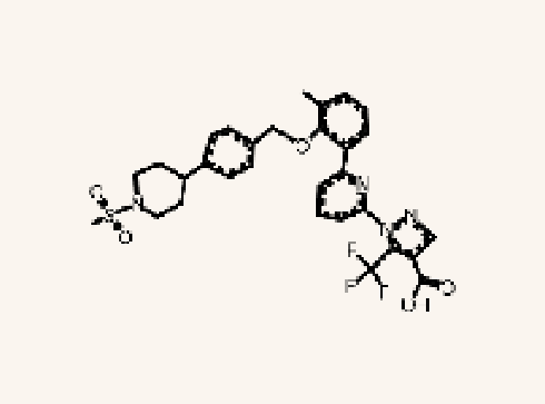 Cc1cccc(-c2cccc(-n3ncc(C(=O)O)c3C(F)(F)F)n2)c1OCc1ccc(C2CCN(S(C)(=O)=O)CC2)cc1